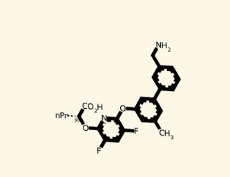 CCC[C@@H](Oc1nc(Oc2cc(C)cc(-c3cccc(CN)c3)c2)c(F)cc1F)C(=O)O